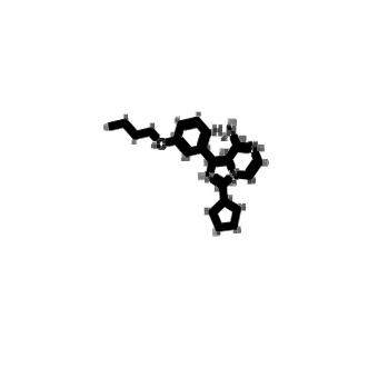 CCCCOc1cccc(-c2nc(C3CCCC3)n3ccnc(N)c23)c1